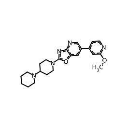 COc1cc(-c2cnc3nc(N4CCC(N5CCCCC5)CC4)oc3c2)ccn1